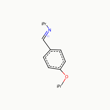 CC(C)/N=C/c1ccc(OC(C)C)cc1